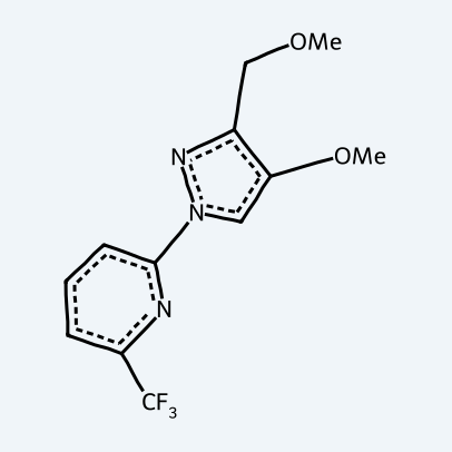 COCc1nn(-c2cccc(C(F)(F)F)n2)cc1OC